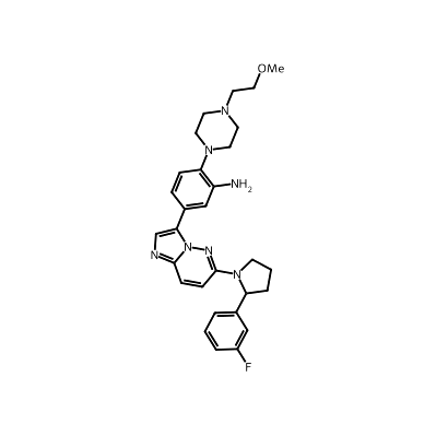 COCCN1CCN(c2ccc(-c3cnc4ccc(N5CCCC5c5cccc(F)c5)nn34)cc2N)CC1